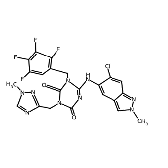 Cn1cnc(Cn2c(=O)nc(Nc3cc4cn(C)nc4cc3Cl)n(Cc3cc(F)c(F)c(F)c3F)c2=O)n1